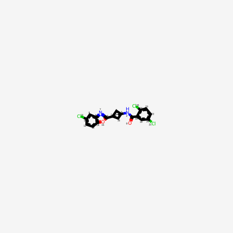 O=C(NC12CC(c3nc4cc(Cl)ccc4o3)(C1)C2)c1cc(Cl)ccc1Cl